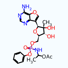 CC(=O)OC(C)NP(=O)(OC[C@H]1O[C@@H](c2coc3c(N)ncnc23)[C@](C)(O)[C@@H]1O)Oc1ccccc1